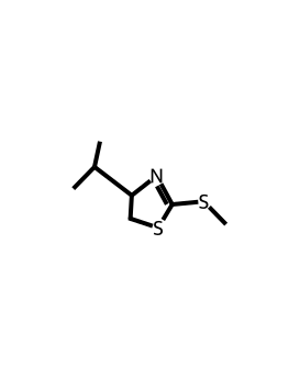 CSC1=NC(C(C)C)CS1